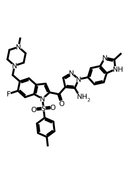 Cc1ccc(S(=O)(=O)n2c(C(=O)c3cnn(-c4ccc5[nH]c(C)nc5c4)c3N)cc3cc(CN4CCN(C)CC4)c(F)cc32)cc1